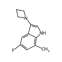 Cc1cc(F)cc2c(N3CCC3)c[nH]c12